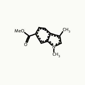 COC(=O)c1ccc2c(C)cn(C)c2c1